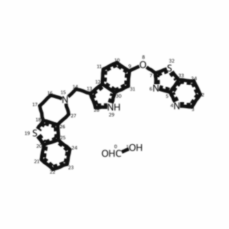 O=CO.c1cnc2nc(Oc3ccc4c(CN5CCc6sc7ccccc7c6C5)c[nH]c4c3)sc2c1